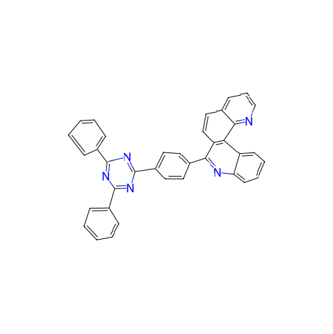 c1ccc(-c2nc(-c3ccccc3)nc(-c3ccc(-c4nc5ccccc5c5c4ccc4cccnc45)cc3)n2)cc1